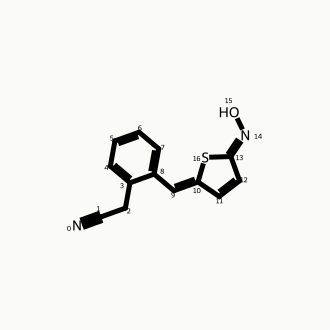 N#CCc1ccccc1/C=C1C=C/C(=N/O)S/1